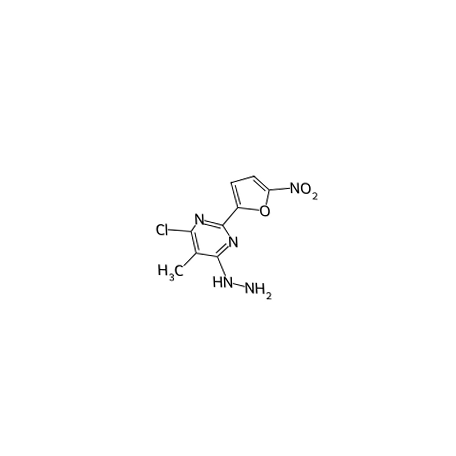 Cc1c(Cl)nc(-c2ccc([N+](=O)[O-])o2)nc1NN